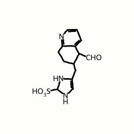 O=CC1c2cccnc2CCC1CC1=CNC(S(=O)(=O)O)N1